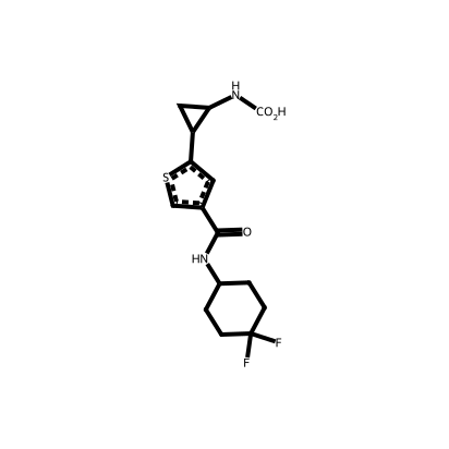 O=C(O)NC1CC1c1cc(C(=O)NC2CCC(F)(F)CC2)cs1